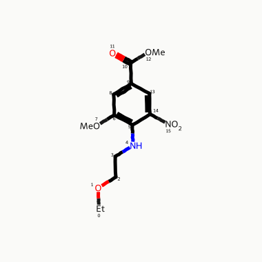 CCOCCNc1c(OC)cc(C(=O)OC)cc1[N+](=O)[O-]